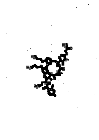 Cc1ccc(C(=O)N[C@@H](CCN)C(=O)N(C)[C@@H]2C(=O)N[C@@H](C)C(=O)N[C@H](C(=O)N[C@@H](C)C(=O)OCC(N)=O)Cc3ccc(OCCN)c(c3)-c3cc2ccc3OCCN)c(C)c1